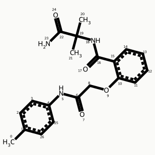 Cc1ccc(NC(=O)COc2ccccc2C(=O)NC(C)(C)C(N)=O)cc1